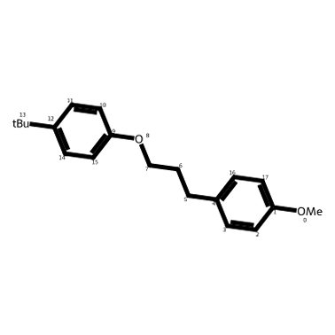 COc1ccc(CCCOc2ccc(C(C)(C)C)cc2)cc1